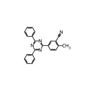 Cc1ccc(-c2nc(-c3ccccc3)nc(-c3ccccc3)n2)cc1C#N